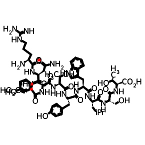 CC(C)C[C@H](NC(=O)[C@H](Cc1c[nH]c2ccccc12)NC(=O)[C@H](Cc1ccc(O)cc1)NC(=O)[C@@H](NC(=O)[C@H](Cc1ccc(O)cc1)NC(=O)[C@H](CC(=O)O)NC(=O)[C@H](CC(N)=O)NC(=O)[C@@H](N)CCCNC(=N)N)[C@@H](C)O)C(=O)N[C@@H](CO)C(=O)N[C@H](C(=O)O)[C@@H](C)O